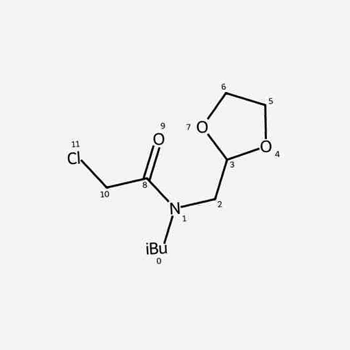 CCC(C)N(CC1OCCO1)C(=O)CCl